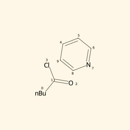 CCCCC(=O)Cl.c1ccncc1